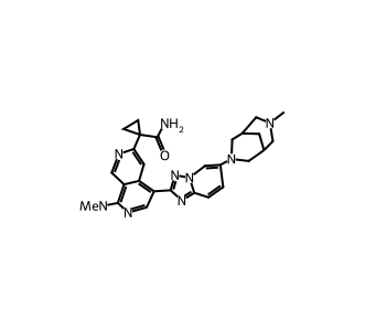 CNc1ncc(-c2nc3ccc(N4CC5CC(CN(C)C5)C4)cn3n2)c2cc(C3(C(N)=O)CC3)ncc12